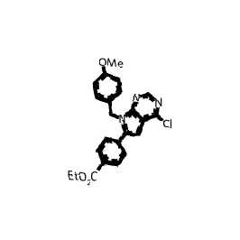 CCOC(=O)c1ccc(-c2cc3c(Cl)ncnc3n2Cc2ccc(OC)cc2)cc1